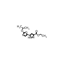 CCOC(=O)c1cc(-c2cnc(OC(C)C)o2)[nH]n1